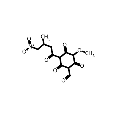 COC1C(=O)C(C=O)C(=O)C(C(=O)CC(C)C[N+](=O)[O-])C1=O